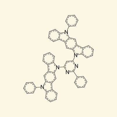 c1ccc(-c2nc(-n3c4ccccc4c4cc5c(cc43)c3ccccc3n5-c3ccccc3)cc(-n3c4ccccc4c4cc5c(cc43)c3ccccc3n5-c3ccccc3)n2)cc1